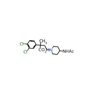 CC(=O)NC1CCN(CCC(C)(C(=O)O)c2ccc(Cl)c(Cl)c2)CC1